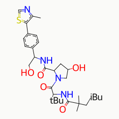 CCC(C)CC(C)(C)C(=O)NC(C(=O)N1CC(O)CC1C(=O)NC(CO)c1ccc(-c2scnc2C)cc1)C(C)(C)C